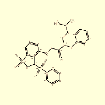 CN(C)CCN(Cc1ccccc1)C(=O)COc1cccc2c1C(S(=O)(=O)c1ccccc1)CS2(=O)=O